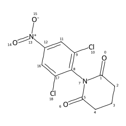 O=C1CCCC(=O)N1c1c(Cl)cc([N+](=O)[O-])cc1Cl